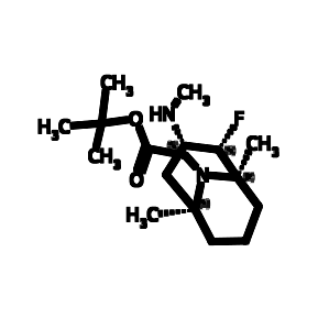 CN[C@H]1C[C@]2(C)CCC[C@](C)([C@H]1F)N2CC(=O)OC(C)(C)C